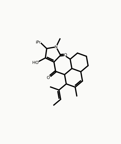 C/C=C(\C)C1C(C)=CC2CCCC(C)C2C1C(=O)C1=C(O)C(C(C)C)N(C)C1=O